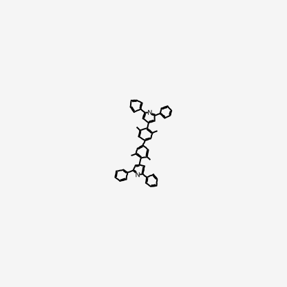 Cc1cc(-c2cc(C)c(-c3cc(-c4ccccc4)nc(-c4ccccc4)c3)c(C)c2)cc(C)c1-c1cc(-c2ccccc2)nc(-c2ccccc2)c1